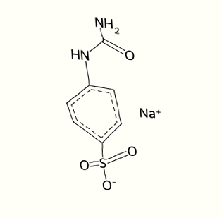 NC(=O)Nc1ccc(S(=O)(=O)[O-])cc1.[Na+]